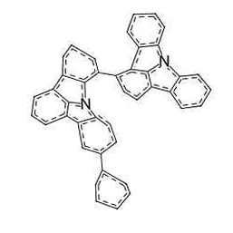 c1ccc(-c2ccc3c(c2)c2cccc4c5cccc(-c6ccc7c8ccccc8n8c9ccccc9c6c78)c5n3c24)cc1